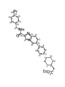 CCOC(=O)C[C@H]1CC[C@H](c2ccc(-c3ccc4nc(C(=O)NCc5ccc(C(C)C)cc5)cn4c3)cc2)CC1